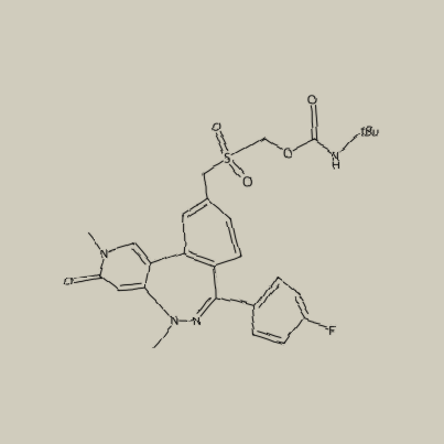 CN1N=C(c2ccc(F)cc2)c2ccc(CS(=O)(=O)COC(=O)NC(C)(C)C)cc2-c2cn(C)c(=O)cc21